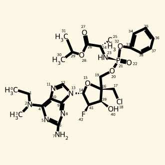 CCN(C)c1nc(N)nc2c1ncn2[C@@H]1O[C@](CCl)(CO[P@](=O)(N[C@@H](C)C(=O)OC(C)C)Oc2ccccc2)[C@@H](O)[C@H]1F